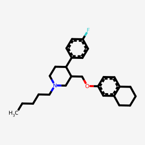 CCCCCN1CCC(c2ccc(F)cc2)C(COc2ccc3c(c2)CCCC3)C1